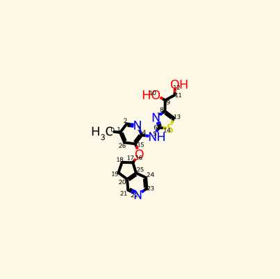 Cc1cnc(Nc2nc(C(O)CO)cs2)c(OC2CCc3cnccc32)c1